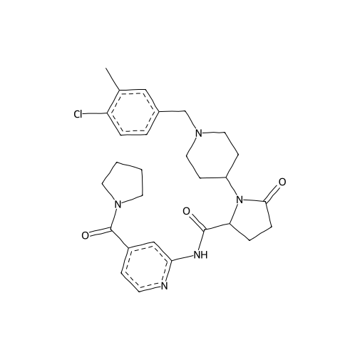 Cc1cc(CN2CCC(N3C(=O)CCC3C(=O)Nc3cc(C(=O)N4CCCC4)ccn3)CC2)ccc1Cl